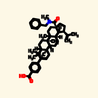 C=C(C)[C@@H]1CC[C@]2(C(=O)N(C)Cc3ccccc3)CC[C@]3(C)[C@H](CC[C@@H]4[C@@]5(C)CC=C(c6ccc(C(=O)O)cc6)C(C)(C)[C@@H]5CC[C@]43C)[C@@H]12